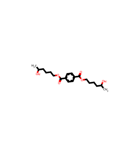 CC(O)CCCCOC(=O)c1ccc(C(=O)OCCCCC(C)O)cc1